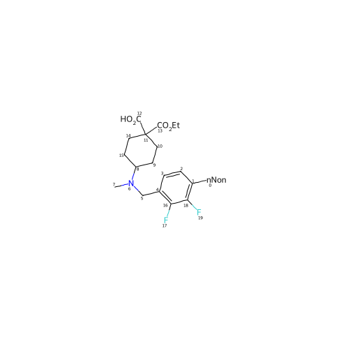 CCCCCCCCCc1ccc(CN(C)C2CCC(C(=O)O)(C(=O)OCC)CC2)c(F)c1F